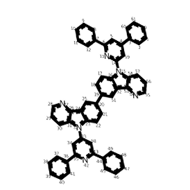 c1ccc(-c2cc(-c3ccccc3)nc(-n3c4ccc(-c5ccc6c(c5)c5ncccc5n6-c5cc(-c6ccccc6)nc(-c6ccccc6)c5)cc4c4ncccc43)c2)cc1